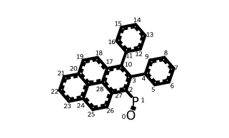 O=Pc1c(-c2ccccc2)c(-c2ccccc2)c2ccc3cccc4ccc1c2c43